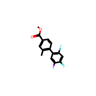 COC(=O)c1ccc(-c2cc(I)c(F)cc2F)c(C)c1